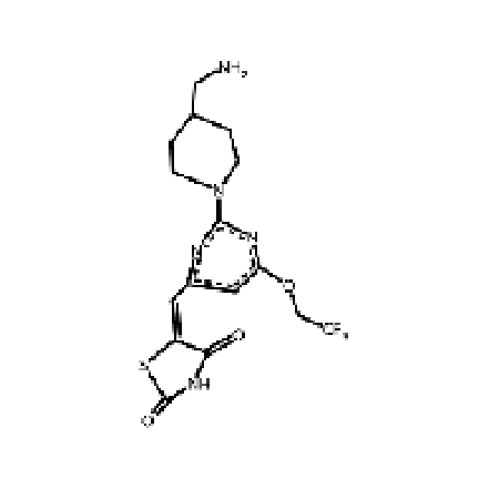 NCC1CCN(c2nc(/C=C3/SC(=O)NC3=O)cc(OCC(F)(F)F)n2)CC1